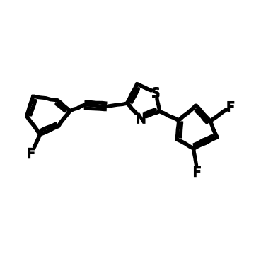 Fc1cccc(C#Cc2csc(-c3cc(F)cc(F)c3)n2)c1